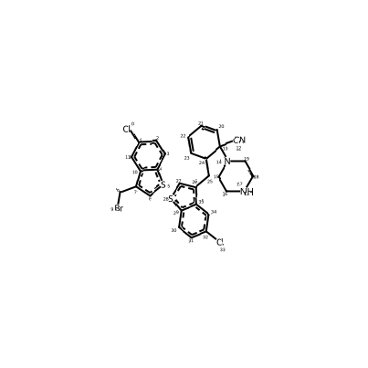 Clc1ccc2scc(CBr)c2c1.N#CC1(N2CCNCC2)C=CC=CC1Cc1csc2ccc(Cl)cc12